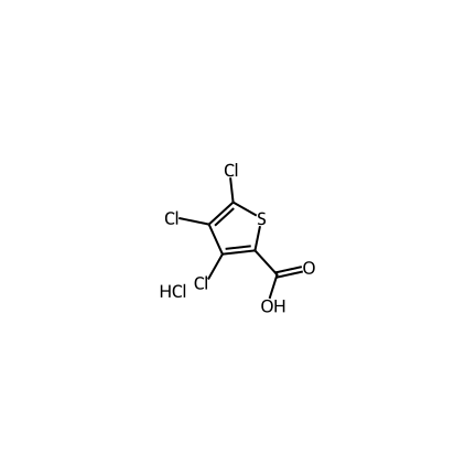 Cl.O=C(O)c1sc(Cl)c(Cl)c1Cl